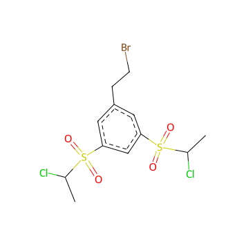 CC(Cl)S(=O)(=O)c1cc(CCBr)cc(S(=O)(=O)C(C)Cl)c1